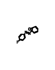 Fc1ccc(N=NC23C=CC=CC2O3)cc1